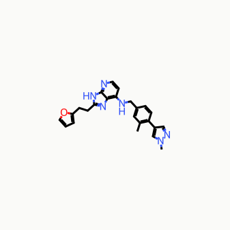 Cc1cc(CNc2ccnc3[nH]c(CCc4ccco4)nc23)ccc1-c1cnn(C)c1